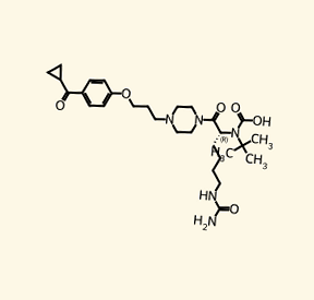 CC(C)(C)N(C(=O)O)[C@H](CCCCNC(N)=O)C(=O)N1CCN(CCCOc2ccc(C(=O)C3CC3)cc2)CC1